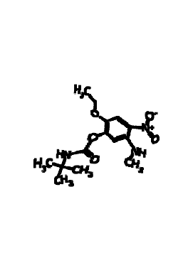 CCOc1cc([N+](=O)[O-])c(NC)cc1OC(=O)NC(C)(C)C